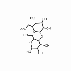 CC(=O)OCC1O[C@@H](O[C@@H]2C(CO)OC(O)C(O)C2O)C(O)C(O)[C@H]1O